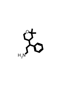 CC1(C)CC(C(CCN)c2ccccc2)CCO1